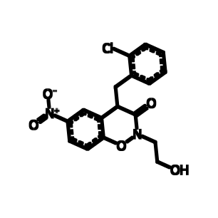 O=C1C(Cc2ccccc2Cl)c2cc([N+](=O)[O-])ccc2ON1CCO